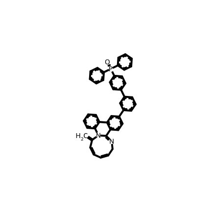 C=C1/C=C\C=C/C/N=C2/c3ccc(-c4cccc(-c5ccc(P(=O)(c6ccccc6)c6ccccc6)cc5)c4)cc3-c3ccccc3N12